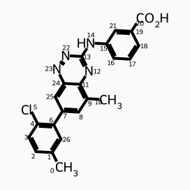 Cc1ccc(Cl)c(-c2cc(C)c3nc(Nc4cccc(C(=O)O)c4)nnc3c2)c1